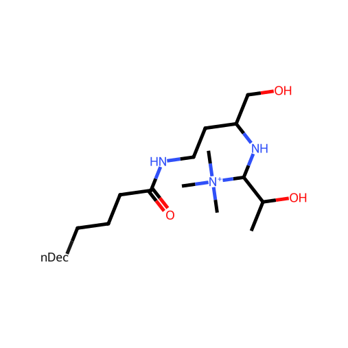 CCCCCCCCCCCCCC(=O)NCCC(CO)NC(C(C)O)[N+](C)(C)C